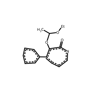 CCOC(C)Oc1c(-c2ccccc2)cccnc1=O